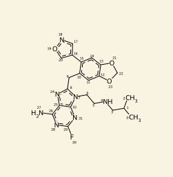 CC(C)CNCCn1c(Cc2cc3c(cc2-c2cnoc2)OCO3)nc2c(N)nc(F)nc21